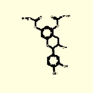 CCCCCCCC(=O)Oc1cc(OC(=O)CCCCCCC)c2c(c1)OC(c1ccc(O)c(O)c1)C(O)C2